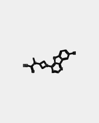 CN(C(=O)O)C1CN(c2ncnc3c2oc2ccc(Cl)cc23)C1